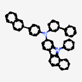 c1ccc(-c2cccc(N(c3ccc(-c4ccc5ccccc5c4)cc3)c3ccc4c5ccc6ccccc6c5n(-c5ccccc5)c4c3)c2)cc1